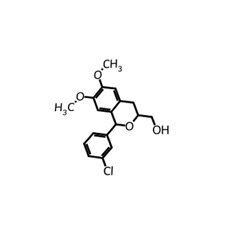 COc1cc2c(cc1OC)C(c1cccc(Cl)c1)OC(CO)C2